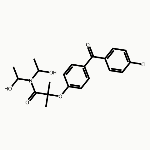 CC(O)N(C(=O)C(C)(C)Oc1ccc(C(=O)c2ccc(Cl)cc2)cc1)C(C)O